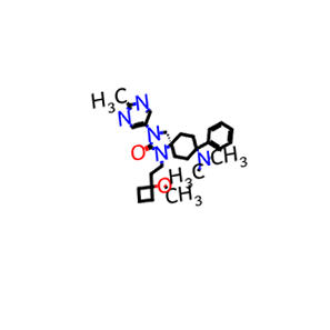 COC1(CCN2C(=O)N(c3cnc(C)nc3)C[C@]23CC[C@@](c2ccccc2)(N(C)C)CC3)CCC1